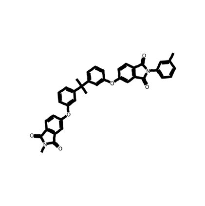 Cc1cccc(N2C(=O)c3ccc(Oc4cccc(C(C)(C)c5cccc(Oc6ccc7c(c6)C(=O)N(C)C7=O)c5)c4)cc3C2=O)c1